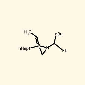 CC=P1(CCCCCCC)CN1C(CC)CCCC